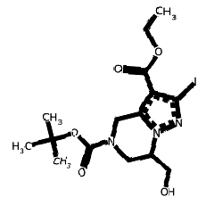 CCOC(=O)c1c(I)nn2c1CN(C(=O)OC(C)(C)C)CC2CO